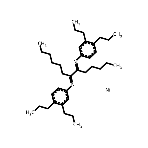 CCCCCCC(=N\c1ccc(CCC)c(CCC)c1)/C(CCCCC)=N/c1ccc(CCC)c(CCC)c1.[Ni]